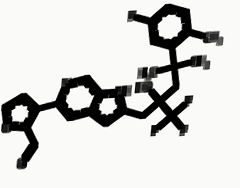 Cc1ccc(F)cc1C(C)(C)CC(O)(Cc1cc2cc(-c3ccoc3C=O)ncc2[nH]1)C(F)(F)F